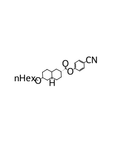 CCCCCCOC1CCC2C[C@H](C(=O)Oc3ccc(C#N)cc3)CC[C@@H]2C1